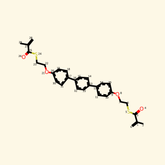 C=C(C)C(=O)SCCOc1ccc(-c2ccc(-c3ccc(OCCSC(=O)C(=C)C)cc3)cc2)cc1